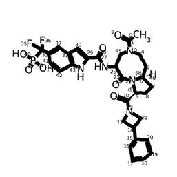 CC(=O)N1CC[C@H]2CC[C@@H](C(=O)N3CC(c4ccccc4)C3)N2C(=O)C(NC(=O)c2cc3cc(C(F)(F)P(=O)(O)O)ccc3[nH]2)C1